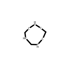 C1CPCCPCPC1